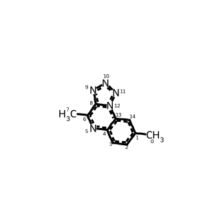 Cc1ccc2nc(C)c3nnnn3c2c1